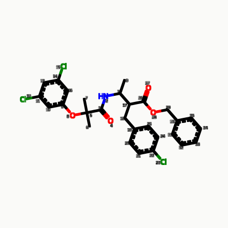 CC(NC(=O)C(C)(C)Oc1cc(Cl)cc(Cl)c1)C(Cc1ccc(Cl)cc1)C(=O)OCc1ccccc1